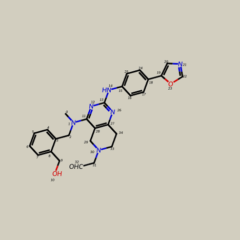 CN(Cc1ccccc1CO)c1nc(Nc2ccc(-c3cnco3)cc2)nc2c1CN(CC=O)CC2